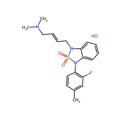 Cc1ccc(N2c3ccccc3N(CC=CCN(C)C)S2(=O)=O)c(F)c1.Cl